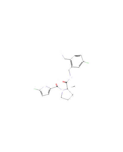 C[C@@]1(C(=O)NCc2cc(Cl)ccc2CN)CCCN1C(=O)c1ccc(Cl)[nH]1